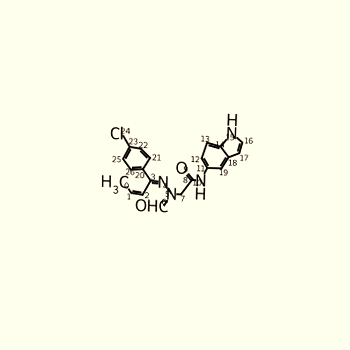 C/C=C\C(=N/N(C=O)CC(=O)Nc1ccc2[nH]ccc2c1)c1ccc(Cl)cc1